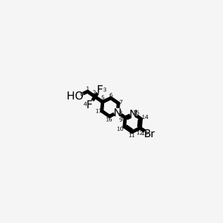 OCC(F)(F)C1CCN(c2ccc(Br)cn2)CC1